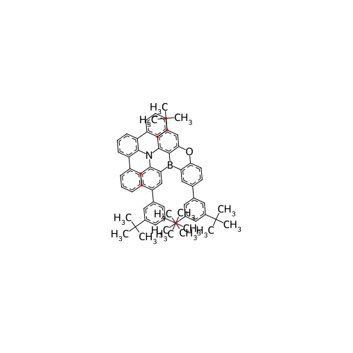 CC(C)(C)c1cc(-c2ccc3c(c2)B2c4cc(-c5cc(C(C)(C)C)cc(C(C)(C)C)c5)ccc4N(c4c(-c5ccccc5)cccc4-c4ccccc4)c4cc(C(C)(C)C)cc(c42)O3)cc(C(C)(C)C)c1